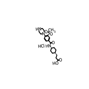 CS(=O)(=O)c1cc(C(=O)N[C@H]2CC[C@H](CCC(=O)O)CC2)ccc1N1CCNCC1.Cl